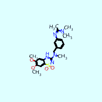 COc1cc2c(cc1OC)S(=O)(=O)N=C(N(C)Cc1cccc(/N=C(/C)N(C)C)c1)N2